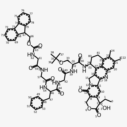 CC[C@@]1(O)C(=O)OCc2c1cc1n(c2=O)Cc2c-1nc1cc(F)c(C)c3c1c2[C@@H](NC(=O)[C@H](COC(C)(C)C)NC(=O)CNC(=O)C(Cc1ccccc1)NC(=O)CNC(=O)CNC(=O)OCC1c2ccccc2-c2ccccc21)CC3